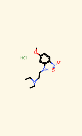 CCN(CC)CCNc1cc(OC)ccc1[N+](=O)[O-].Cl